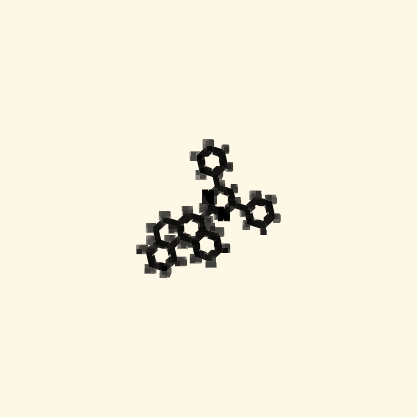 c1ccc(-c2cc(-c3ccccc3)nc(-c3cc4c(c5ccccc35)-c3ccccc3CC4)n2)cc1